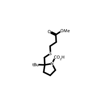 COC(=O)CCSCC1(C(C)(C)C)CCCN1C(=O)O